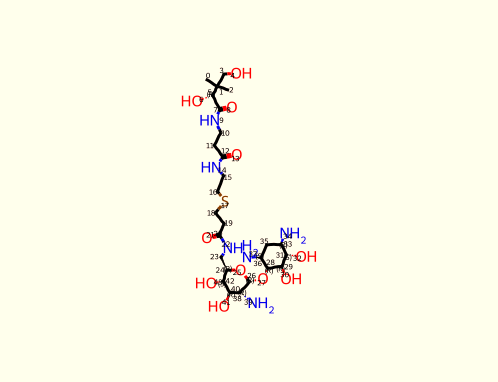 CC(C)(CO)[C@@H](O)C(=O)NCCC(=O)NCCSCCC(=O)NC[C@H]1O[C@H](O[C@H]2[C@H](O)[C@@H](O)[C@H](N)C[C@@H]2N)[C@H](N)[C@@H](O)[C@@H]1O